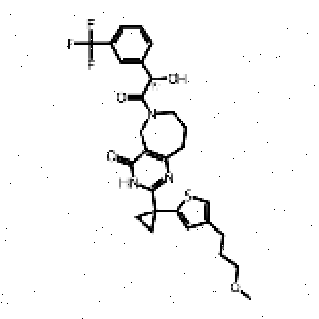 COCCCc1csc(C2(c3nc4c(c(=O)[nH]3)CN(C(=O)[C@H](O)c3cccc(C(F)(F)F)c3)CCC4)CC2)c1